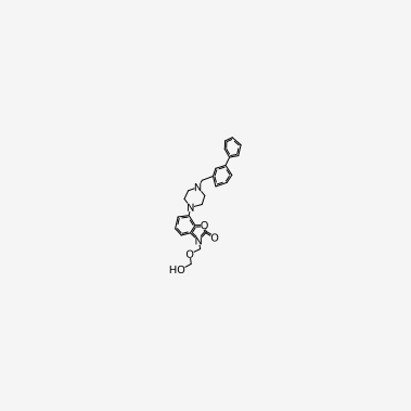 O=c1oc2c(N3CCN(Cc4cccc(-c5ccccc5)c4)CC3)cccc2n1COCO